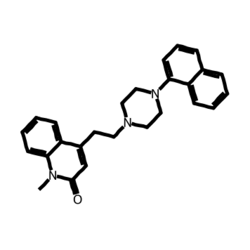 Cn1c(=O)cc(CCN2CCN(c3cccc4ccccc34)CC2)c2ccccc21